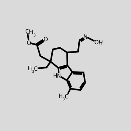 CCC1(CC(=O)OC)CCC(C/C=N\O)c2c1[nH]c1c(C)cccc21